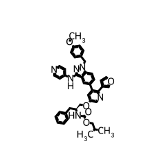 COc1ccc(Cn2nc(Nc3ccncc3)c3cc(-c4cc(OC[C@H](Cc5ccccc5)NC(=O)OCC(C)C)cnc4-c4ccoc4)ccc32)cc1